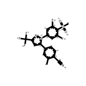 Cc1cc(-c2cc(C(F)(F)F)nn2-c2cc(F)c(S(C)(=O)=O)c(F)c2)ccc1C#N